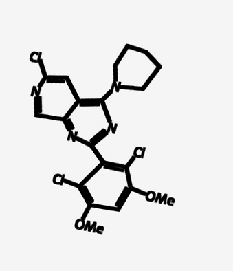 COc1cc(OC)c(Cl)c(-c2nc(N3CCCCC3)c3cc(Cl)ncc3n2)c1Cl